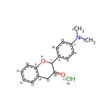 CN(C)c1ccc(C2Oc3ccccc3CC2=O)cc1.Cl